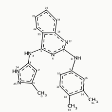 Cc1cc(Nc2nc(Nc3ccc(C)c(C)c3)nc3ccccc23)[nH]n1